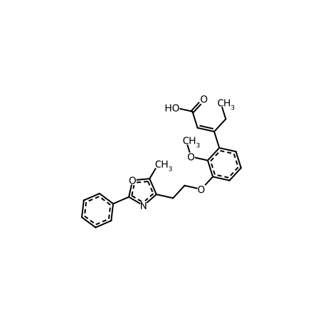 CCC(=CC(=O)O)c1cccc(OCCc2nc(-c3ccccc3)oc2C)c1OC